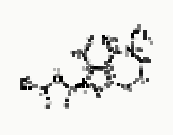 CCC1CC[C@H](n2cc3c4c(ncnc42)N(C)CCC3)O1